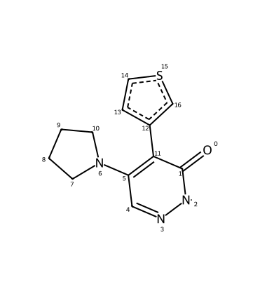 O=C1[N]N=CC(N2CCCC2)=C1c1ccsc1